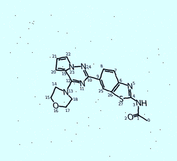 CC(=O)Nc1nc2ccc(-c3nc(N4CCOCC4)c4cccn4n3)cc2s1